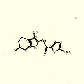 CC1CCc2c(sc(NC(=O)c3ccc([N+](=O)[O-])o3)c2C#N)C1